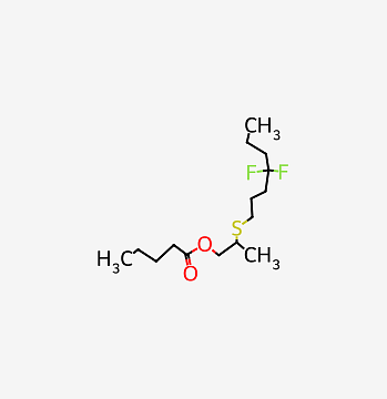 CCCCC(=O)OCC(C)SCCCC(F)(F)CCC